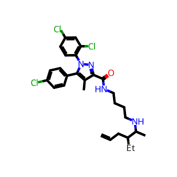 C=CCC(CC)C(C)NCCCCNC(=O)c1nn(-c2ccc(Cl)cc2Cl)c(-c2ccc(Cl)cc2)c1C